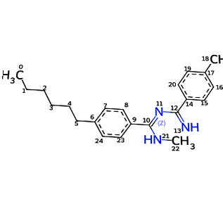 CCCCCCc1ccc(/C(=N/C(=N)c2ccc(C)cc2)NC)cc1